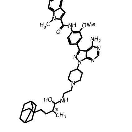 COc1cc(-c2nn(C3CCN(CCNC(O)[C@@H](C)CCC45CC6CC(CC(C6)C4)C5)CC3)c3ncnc(N)c23)ccc1NC(=O)c1cc2ccccc2n1C